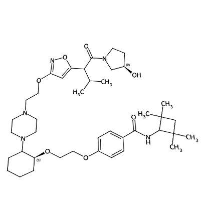 CC(C)C(C(=O)N1CC[C@@H](O)C1)c1cc(OCCN2CCN(C3CCCC[C@@H]3OCCOc3ccc(C(=O)NC4C(C)(C)CC4(C)C)cc3)CC2)no1